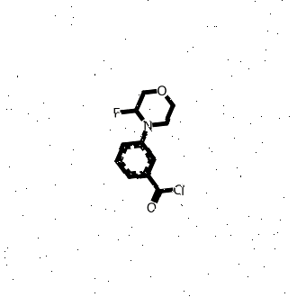 O=C(Cl)c1cccc(N2CCOCC2F)c1